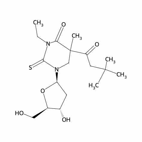 CCN1C(=O)C(C)(C(=O)CC(C)(C)C)CN([C@H]2C[C@H](O)[C@@H](CO)O2)C1=S